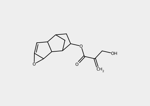 C=C(CO)C(=O)OC1CC2CC1C1C3OC3=CC21